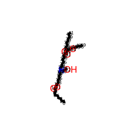 CCCCCC/C=C\CC(=O)OCCCCCCCN(CCO)CCCCCCCC(=O)OC(CCCCCCCC)CCOCCCCC